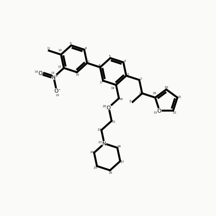 [CH2]C(Cc1ccc(-c2ccc(C)c([N+](=O)[O-])c2)cc1COCCN1CCCCC1)c1ccco1